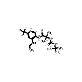 CCNc1cc(C(F)(F)F)ncc1NC(=O)C(C)(C)NC(=O)OC(C)(C)C